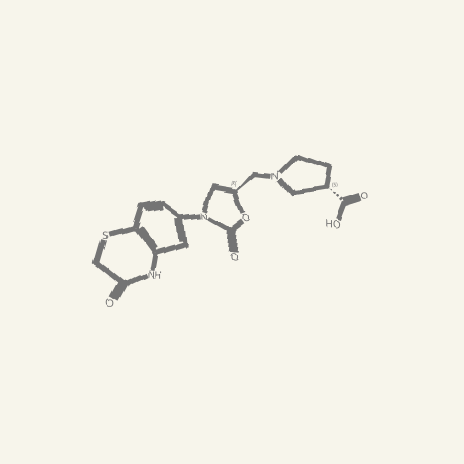 O=C1CSc2ccc(N3C[C@@H](CN4CC[C@H](C(=O)O)C4)OC3=O)cc2N1